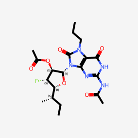 CCCn1c(=O)n([C@@H]2O[C@H]([C@@H](C)CC)[C@H](F)[C@H]2OC(C)=O)c2nc(NC(C)=O)[nH]c(=O)c21